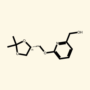 CC1(C)OC[C@@H](COc2cccc(CO)n2)O1